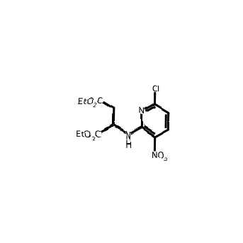 CCOC(=O)CC(Nc1nc(Cl)ccc1[N+](=O)[O-])C(=O)OCC